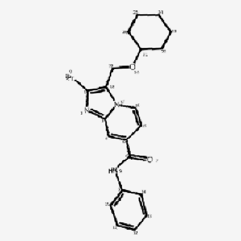 CC(C)c1nc2cc(C(=O)Nc3ccccc3)ccn2c1COC1CCCCC1